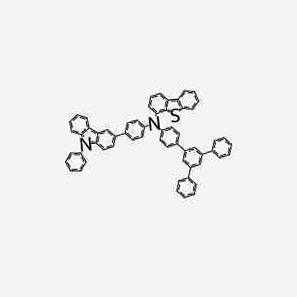 c1ccc(-c2cc(-c3ccccc3)cc(-c3ccc(N(c4ccc(-c5ccc6c(c5)c5ccccc5n6-c5ccccc5)cc4)c4cccc5c4sc4ccccc45)cc3)c2)cc1